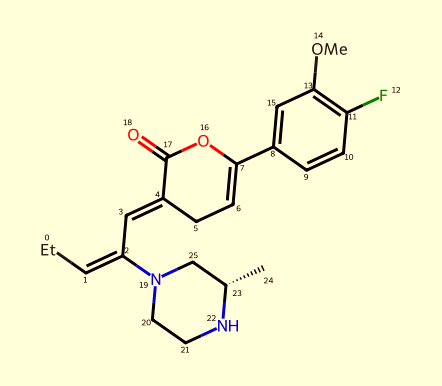 CC/C=C(\C=C1/CC=C(c2ccc(F)c(OC)c2)OC1=O)N1CCN[C@@H](C)C1